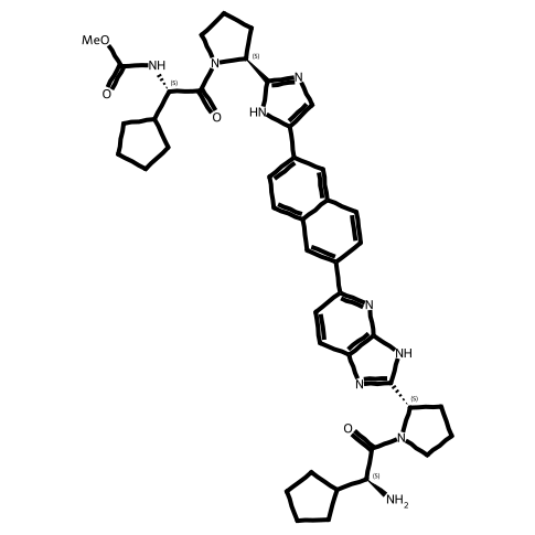 COC(=O)N[C@H](C(=O)N1CCC[C@H]1c1ncc(-c2ccc3cc(-c4ccc5nc([C@@H]6CCCN6C(=O)[C@@H](N)C6CCCC6)[nH]c5n4)ccc3c2)[nH]1)C1CCCC1